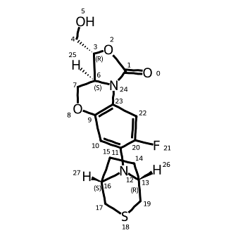 O=C1O[C@@H](CO)[C@@H]2COc3cc(N4[C@@H]5CC[C@H]4CSC5)c(F)cc3N12